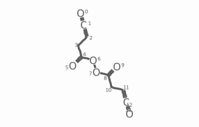 O=C=CCC(=O)OOC(=O)CC=C=O